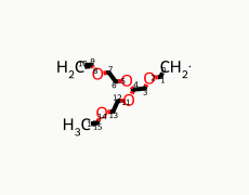 [CH2]COCC(OCCOC=C)OCCOCC